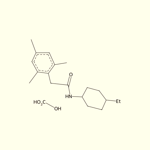 CCC1CCC(NC(=O)Cc2c(C)cc(C)cc2C)CC1.O=C(O)O